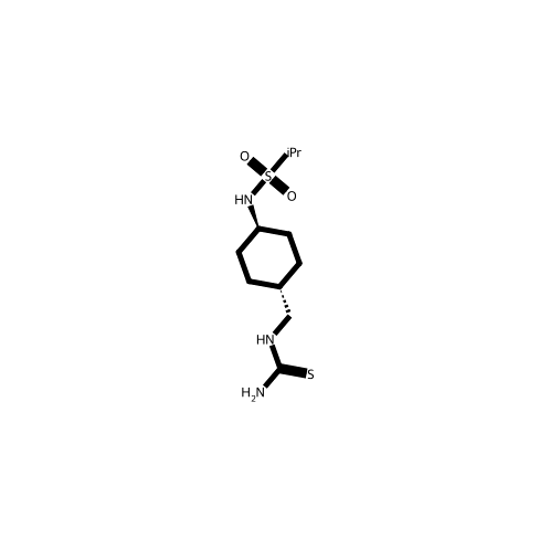 CC(C)S(=O)(=O)N[C@H]1CC[C@H](CNC(N)=S)CC1